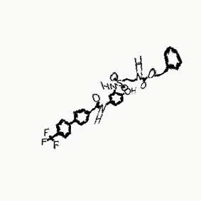 O=C(NCCS(=O)(=O)Nc1cc(NC(=O)c2ccc(-c3ccc(C(F)(F)F)cc3)cc2)ccc1O)OCc1ccccc1